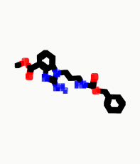 COC(=O)c1cccc2c1nc(N)n2CCCNC(=O)OCc1ccccc1